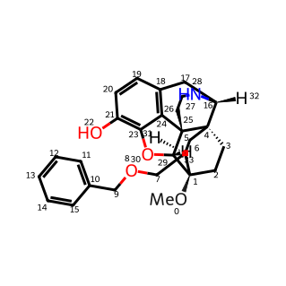 CO[C@]12CC[C@@]3(C[C@@H]1COCc1ccccc1)[C@H]1Cc4ccc(O)c5c4[C@@]3(CCN1)[C@H]2O5